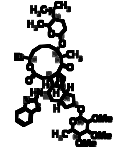 CC[C@H]1CCC[C@H](O[C@H]2CC[C@H](N(C)C)C(C)O2)[C@@H](C)C(=O)C2=C[C@H]3[C@@H]4C[C@H](O[C@@H]5OC(C)[C@H](OC)C(OC)C5OC)C[C@H]4C[C@H](Nc4nc5ccccc5s4)[C@H]3[C@@H]2CC(=O)O1